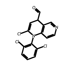 O=CC1C=C(Cl)N(c2c(Cl)cccc2Cl)c2ccncc21